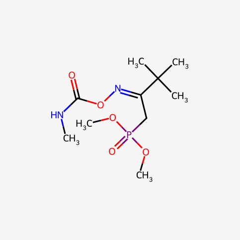 CNC(=O)ON=C(CP(=O)(OC)OC)C(C)(C)C